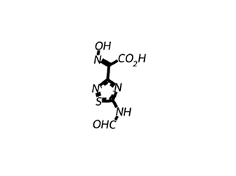 O=CNc1nc(/C(=N/O)C(=O)O)ns1